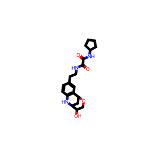 O=C(NCCc1ccc2c(c1)C1CC(N2)C(O)CO1)C(=O)NC1CCCC1